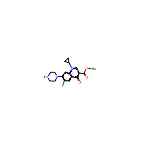 CCCCOC(=O)c1cn(C2CC2)c2cc(N3CCNCC3)c(F)cc2c1=O